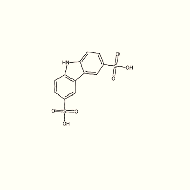 O=S(=O)(O)c1ccc2[nH]c3ccc(S(=O)(=O)O)cc3c2c1